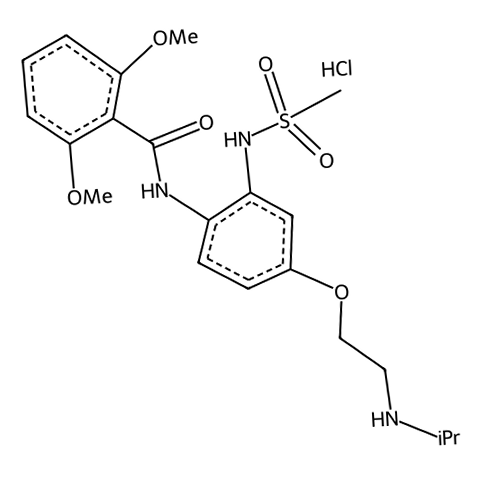 COc1cccc(OC)c1C(=O)Nc1ccc(OCCNC(C)C)cc1NS(C)(=O)=O.Cl